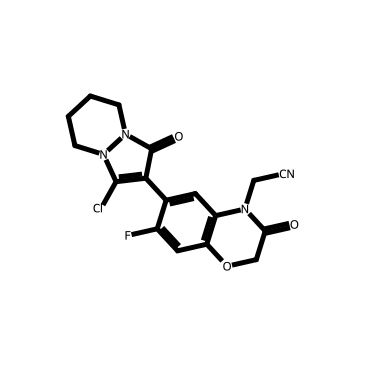 N#CCN1C(=O)COc2cc(F)c(-c3c(Cl)n4n(c3=O)CCCC4)cc21